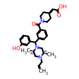 C=CCN1C[C@@H](C)N(C(c2cccc(O)c2)c2cccc(C(=O)N3CCC(=CC(=O)O)CC3)c2)C[C@H]1C